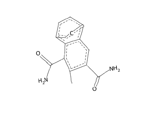 Cc1c(C(N)=O)cc2c3ccc(cc3)c2c1C(N)=O